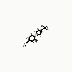 CC(C)(C)C1C2CN(c3ccc(C#N)cc3F)CC21